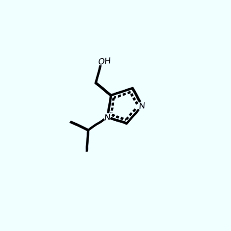 CC(C)n1cncc1CO